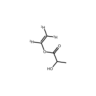 [2H]C([2H])=C([2H])OC(=O)C(C)O